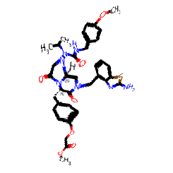 COC(=O)COc1ccc(C[C@H]2C(=O)N(Cc3cccc4sc(N)nc34)C[C@H]3N2C(=O)CN3N(C(=O)NCc2ccc(OC)cc2)C(C)C)cc1